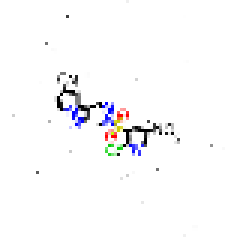 CN(/N=C\c1cnn2ccc(C#N)cc12)S(=O)(=O)c1cc([N+](=O)[O-])cnc1Cl